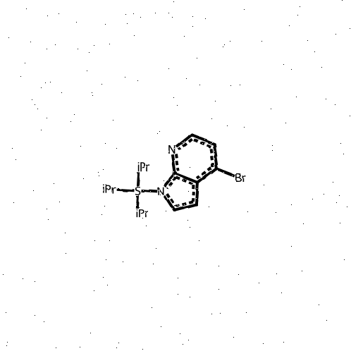 CC(C)S(C(C)C)(C(C)C)n1ccc2c(Br)ccnc21